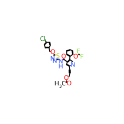 CC(=O)OCC#Cc1cc(C(=O)Nc2nnc(OCc3ccc(Cl)cc3)s2)c(-c2ccccc2OC(F)F)cn1